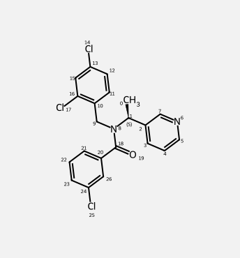 C[C@@H](c1cccnc1)N(Cc1ccc(Cl)cc1Cl)C(=O)c1cccc(Cl)c1